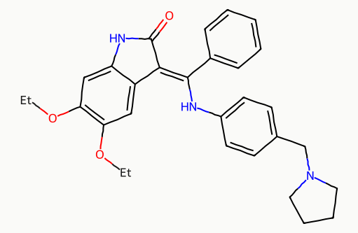 CCOc1cc2c(cc1OCC)C(=C(Nc1ccc(CN3CCCC3)cc1)c1ccccc1)C(=O)N2